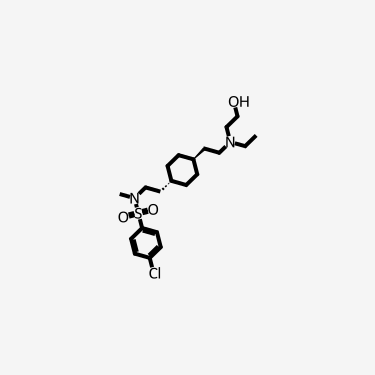 CCN(CCO)CC[C@H]1CC[C@H](CCN(C)S(=O)(=O)c2ccc(Cl)cc2)CC1